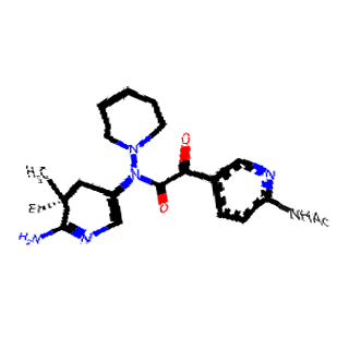 CC[C@]1(C)CC(N(C(=O)C(=O)c2ccc(NC(C)=O)nc2)N2CCCCC2)=CN=C1N